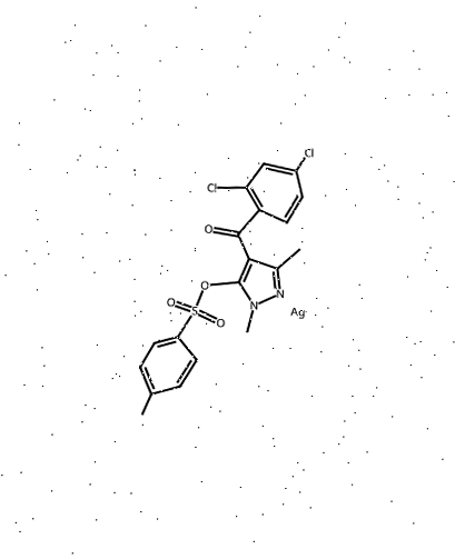 Cc1ccc(S(=O)(=O)Oc2c(C(=O)c3ccc(Cl)cc3Cl)c(C)nn2C)cc1.[Ag]